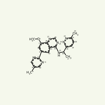 COc1cc(-c2ncc(C)cn2)cc2c(NC(C)c3ccc(C)nn3)ncnc12